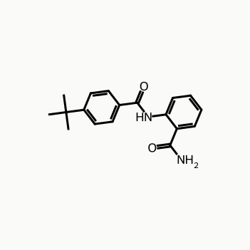 CC(C)(C)c1ccc(C(=O)Nc2ccccc2C(N)=O)cc1